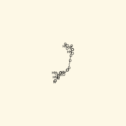 O=C1CCC(N2Cc3c(NC(=O)COCCCOCCCCCOc4ccc(CNC(=O)c5cccc(NC6(c7nnc(-c8ccncc8)[nH]7)CCNCC6)c5)cc4)cccc3C2=O)C(=O)N1